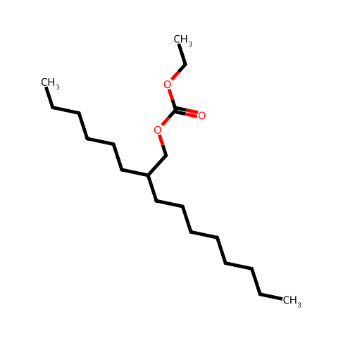 CCCCCCCCC(CCCCCC)COC(=O)OCC